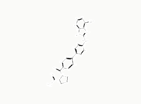 O=C(O)[C@H]1CCC[C@@H]1C(=O)c1ccc(-c2ccc(Nc3nc4c(Cl)cccc4s3)cc2)cc1